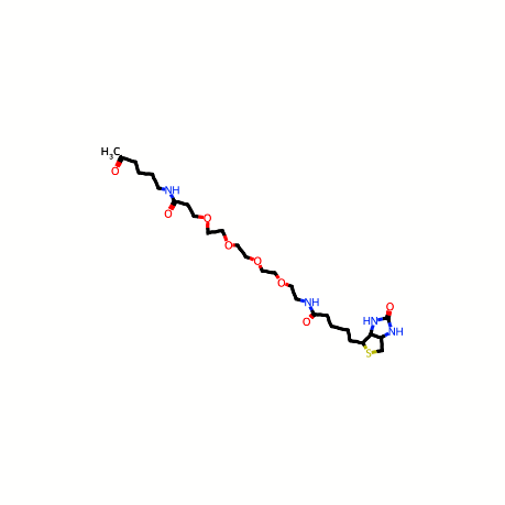 CC(=O)CCCCNC(=O)CCOCCOCCOCCOCCNC(=O)CCCCC1SCC2NC(=O)NC21